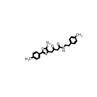 Cc1ccc(CCNC(=O)CC(=O)Cc2nc(-c3ccc(C)cc3)oc2C)cc1